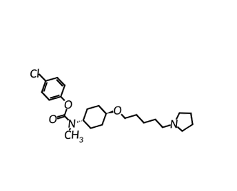 CN(C(=O)Oc1ccc(Cl)cc1)[C@H]1CC[C@H](OCCCCCN2CCCC2)CC1